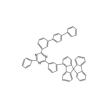 c1ccc(-c2ccc(-c3cccc(-c4nc(-c5ccccc5)nc(-c5cccc(-c6cccc7c6-c6ccccc6C76c7ccccc7-c7ccccc76)c5)n4)c3)cc2)cc1